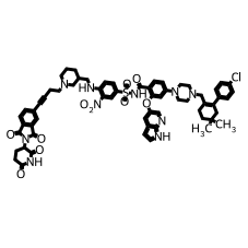 CC1(C)CCC(CN2CCN(c3ccc(C(=O)NS(=O)(=O)c4ccc(NCC5CCCN(CCC#Cc6ccc7c(c6)C(=O)N(C6CCC(=O)NC6=O)C7=O)C5)c([N+](=O)[O-])c4)c(Oc4cnc5[nH]ccc5c4)c3)CC2)=C(c2ccc(Cl)cc2)C1